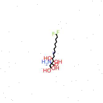 NC(C=CO)(C(=O)O)C(O)C(O)C/C=C/CCCCCCC(F)F